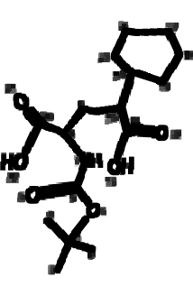 CC(C)(C)OC(=O)N[C@H](CC(C(=O)O)C1CCCCC1)C(=O)O